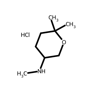 CNC1CCC(C)(C)OC1.Cl